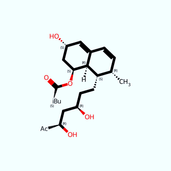 CC[C@H](C)C(=O)O[C@H]1C[C@H](O)C=C2C=C[C@H](C)[C@H](CC[C@@H](O)C[C@@H](O)C(C)=O)[C@H]21